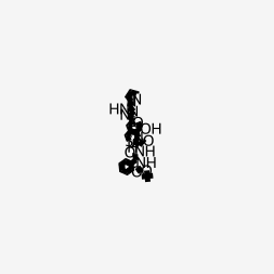 CC(C)(C)OC(=O)NC(C(=O)NC1C(=O)N2C(C(=O)O)=C(CSc3n[nH]c(-n4cccn4)n3)CS[C@@H]12)c1ccccc1